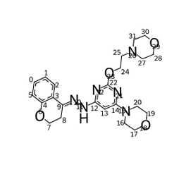 c1ccc2c(c1)OCC/C2=N\Nc1cc(N2CCOCC2)nc(OCCN2CCOCC2)n1